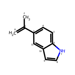 C=C(C)c1ccc2[nH]ccc2c1